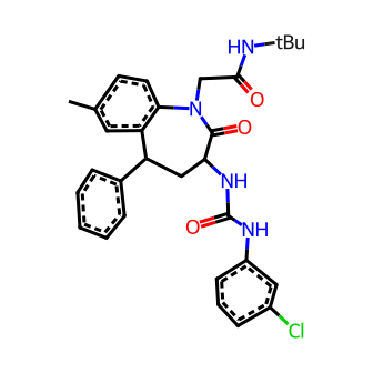 Cc1ccc2c(c1)C(c1ccccc1)CC(NC(=O)Nc1cccc(Cl)c1)C(=O)N2CC(=O)NC(C)(C)C